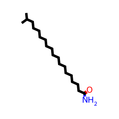 CC(C)CCCCCCCCCCCCCCCCC(N)=O